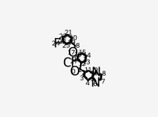 O=C(c1ccc2nccnc2c1)c1cccc(OCc2cccc(F)c2)c1Cl